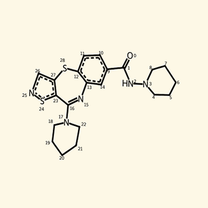 O=C(NN1CCCCC1)c1ccc2c(c1)N=C(N1CCCCC1)c1sncc1S2